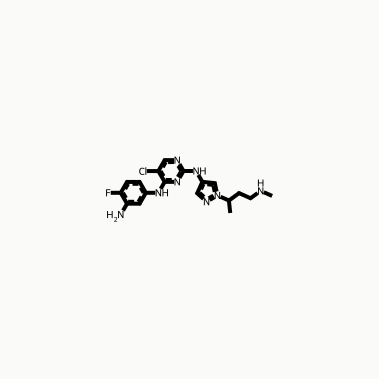 CNCCC(C)n1cc(Nc2ncc(Cl)c(Nc3ccc(F)c(N)c3)n2)cn1